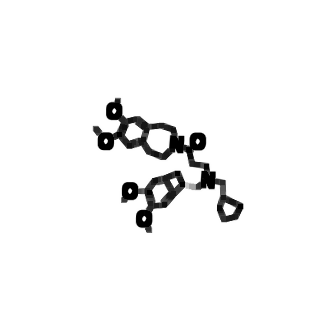 COc1cc2c(cc1OC)CCN(C(=O)CCN(CC1CCCC1)C[C@H]1Cc3cc(OC)c(OC)cc31)CC2